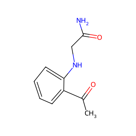 CC(=O)c1ccccc1NCC(N)=O